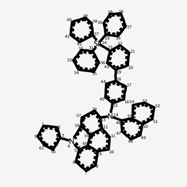 c1ccc(-n2c3cccc4ccc5c(N(c6ccc(-c7cccc([Si](c8ccccc8)(c8ccccc8)c8ccccc8)c7)cc6)c6cccc7ccccc67)ccc2c5c43)cc1